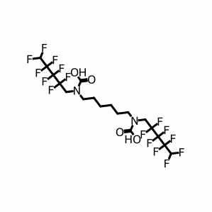 O=C(O)N(CCCCCCN(CC(F)(F)C(F)(F)C(F)(F)C(F)F)C(=O)O)CC(F)(F)C(F)(F)C(F)(F)C(F)F